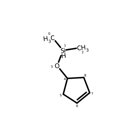 C[SiH](C)OC1CC=CC1